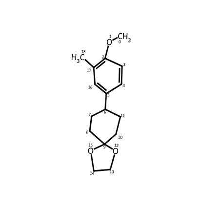 COc1ccc(C2CCC3(CC2)OCCO3)cc1C